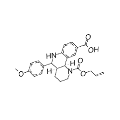 C=CCOC(=O)N1CCC[C@H]2C(c3ccc(OC)cc3)Nc3ccc(C(=O)O)cc3[C@H]21